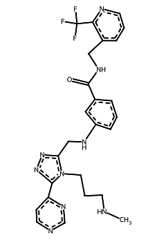 CNCCCn1c(CNc2cccc(C(=O)NCc3cccnc3C(F)(F)F)c2)nnc1-c1ccncn1